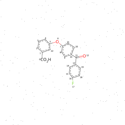 O=C(O)c1cccc(Oc2ccc(C(=O)c3ccc(F)cc3)cc2)c1